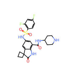 O=C(NC1CCNCC1)c1cc(NS(=O)(=O)c2ccc(F)cc2F)cc2c1NC(=O)C21CCC1